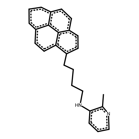 Cc1ncccc1NCCCCc1ccc2ccc3cccc4ccc1c2c34